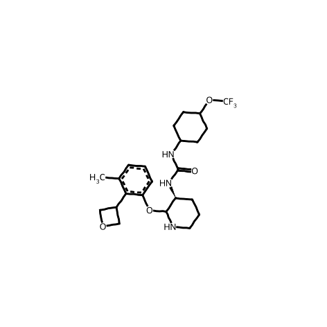 Cc1cccc(OC2NCCC[C@@H]2NC(=O)NC2CCC(OC(F)(F)F)CC2)c1C1COC1